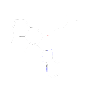 Cc1cccc2cc(OCC[S+](C)[O-])c(-c3nc4ncccc4[nH]3)c(S)c12